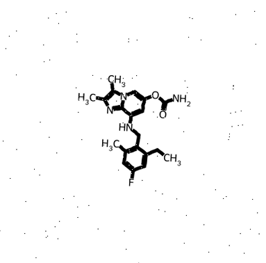 CCc1cc(F)cc(C)c1CNc1cc(OC(N)=O)cn2c(C)c(C)nc12